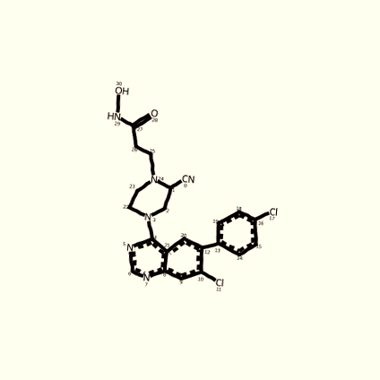 N#CC1CN(c2ncnc3cc(Cl)c(-c4ccc(Cl)cc4)cc23)CCN1CCC(=O)NO